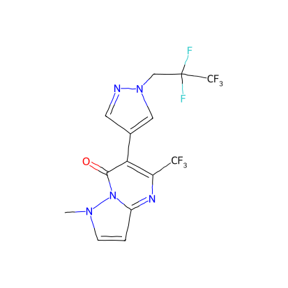 Cn1ccc2nc(C(F)(F)F)c(-c3cnn(CC(F)(F)C(F)(F)F)c3)c(=O)n21